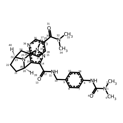 CN(C)C(=O)Nc1ccc(CNC(=O)c2nn(C)c3c2[C@H]2CC[C@@H](C3)N2c2ccc(C(=O)N(C)C)cn2)cc1